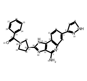 Nc1nc2cc(-c3cc[nH]n3)ccc2c2[nH]c([C@H]3CCN(C(=O)c4ccccc4)C3)nc12